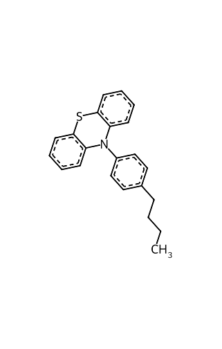 CCCCc1ccc(N2c3ccccc3Sc3ccccc32)cc1